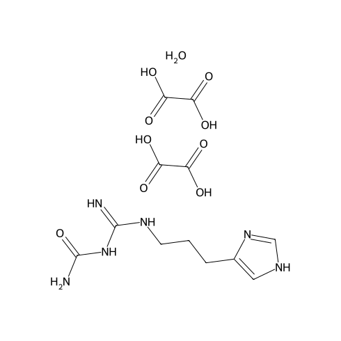 N=C(NCCCc1c[nH]cn1)NC(N)=O.O.O=C(O)C(=O)O.O=C(O)C(=O)O